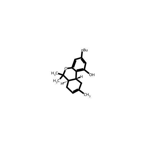 CCCCc1cc(O)c2c(c1)OC(C)(C)[C@@H]1CC=C(C)C[C@@H]21